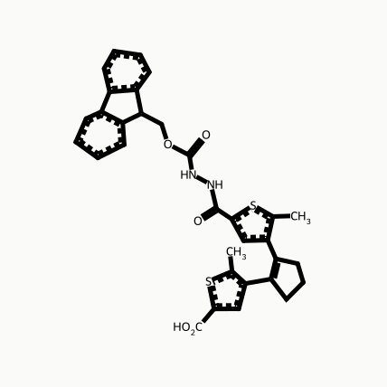 Cc1sc(C(=O)O)cc1C1=C(c2cc(C(=O)NNC(=O)OCC3c4ccccc4-c4ccccc43)sc2C)CCC1